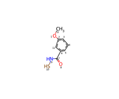 COc1cccc(C(=O)NS)c1